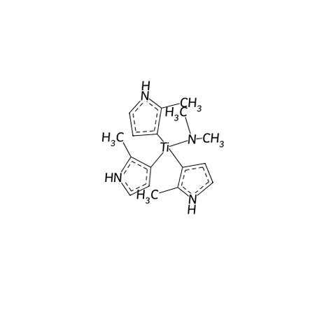 Cc1[nH]cc[c]1[Ti]([c]1cc[nH]c1C)([c]1cc[nH]c1C)[N](C)C